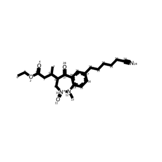 CCOC(=O)CC(C)C1C[N+](=O)N(C)c2ccc(CCCCCC#N)cc2C1=O